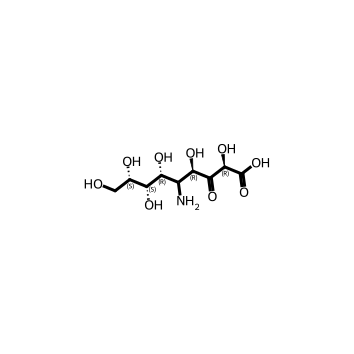 NC([C@@H](O)[C@H](O)[C@@H](O)CO)[C@@H](O)C(=O)[C@@H](O)C(=O)O